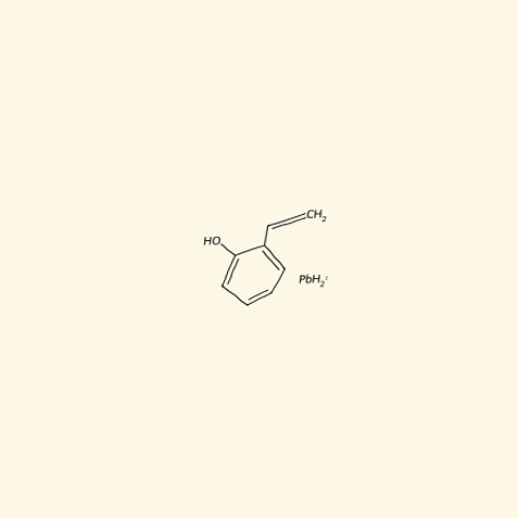 C=Cc1ccccc1O.[PbH2]